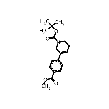 COC(=O)c1ccc(C2=CCCN(C(=O)OC(C)(C)C)C2)cc1